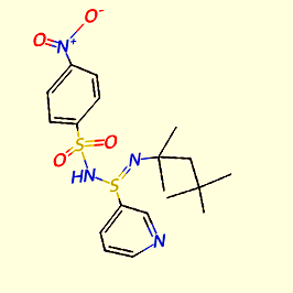 CC(C)(C)CC(C)(C)N=S(NS(=O)(=O)c1ccc([N+](=O)[O-])cc1)c1cccnc1